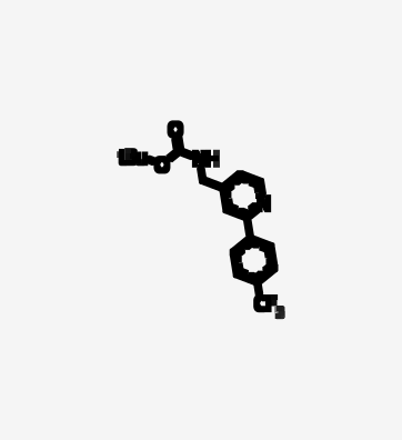 CC(C)(C)OC(=O)NCc1ccnc(-c2ccc(C(F)(F)F)cc2)c1